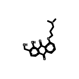 CN(C)CCCOc1cccc2c1C(=O)c1c(ccc(CO)c1O)C2=O